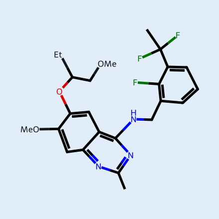 CCC(COC)Oc1cc2c(NCc3cccc(C(C)(F)F)c3F)nc(C)nc2cc1OC